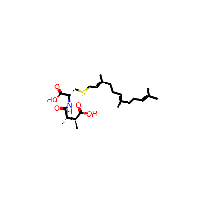 CC(C)=CCCC(C)=CCCC(C)=CCSC[C@H](NC(=O)[C@@H](C)[C@H](C)C(=O)O)C(=O)O